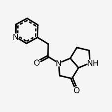 O=C1CN(C(=O)Cc2cccnc2)C2CCNC12